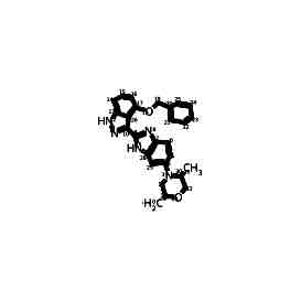 [CH2]C1CN(c2ccc3nc(-c4n[nH]c5cccc(OCc6ccccc6)c45)[nH]c3c2)C(C)CO1